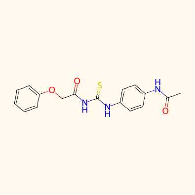 CC(=O)Nc1ccc(NC(=S)NC(=O)COc2ccccc2)cc1